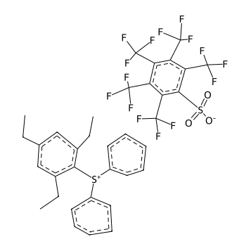 CCc1cc(CC)c([S+](c2ccccc2)c2ccccc2)c(CC)c1.O=S(=O)([O-])c1c(C(F)(F)F)c(C(F)(F)F)c(C(F)(F)F)c(C(F)(F)F)c1C(F)(F)F